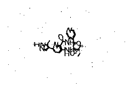 CC[C@@H]1[C@H](O)C[C@H](c2ccncc2NC(=O)c2nc(-c3cn[nH]c3C)ccc2N)O[C@@H]1C